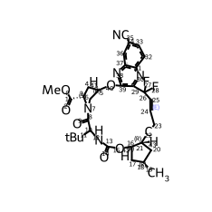 COC(=O)[C@@H]1C[C@@H]2CN1C(=O)C(C(C)(C)C)NC(=O)O[C@@H]1C[C@H](C)C[C@H]1CC/C=C/C(F)(F)c1nc3ccc(C#N)cc3nc1O2